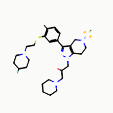 CCS(=O)(=O)N1CCc2c(c(-c3ccc(C(F)(F)F)c(SCCN4CCC(F)CC4)c3)nn2CC(O)CN2CCCCC2)C1